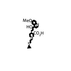 COc1ccc2nccc(C(O)CC[C@@H]3CCN(CCCSC4CC4)C[C@@H]3C(=O)O)c2c1